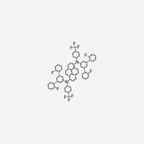 Fc1ccccc1-c1cc(-c2ccccc2F)cc(N(c2ccc(C(F)(F)F)cc2)c2ccc3ccc4c(N(c5ccc(C(F)(F)F)cc5)c5cc(-c6ccccc6F)cc(-c6ccccc6F)c5)ccc5ccc2c3c54)c1